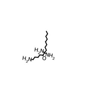 CCCCCCCCC(N)(N)C(=O)CCCCN